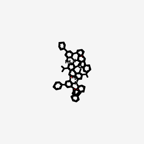 C=Cc1c(N(c2c(P)cc(-c3ccccc3)cc2-c2ccccc2)c2cccc3c2oc2ccccc23)cc(C(C)C)c2ccc3c(N(c4c(P)cc(-c5ccccc5)cc4-c4ccccc4)c4cccc5c4oc4ccccc45)cc(C(C)C)c(C)c3c12